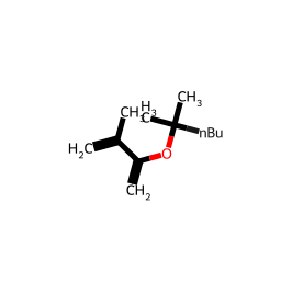 C=C(C)C(=C)OC(C)(C)CCCC